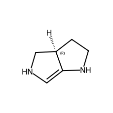 C1=C2NCC[C@@H]2CN1